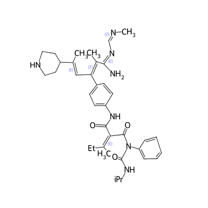 CC/C(C)=C(\C(=O)Nc1ccc(C(/C=C(\C)C2CCNCC2)=C(C)\C(N)=N/C=N\C)cc1)C(=O)N(C(=O)NC(C)C)c1ccccc1